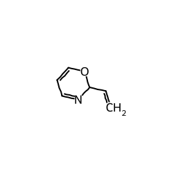 C=CC1N=CC=CO1